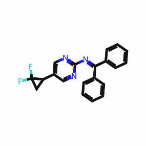 FC1(F)CC1c1cnc(N=C(c2ccccc2)c2ccccc2)nc1